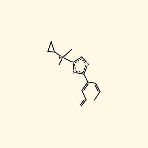 C=C/C=C(\C=C/C)c1ncn([PH](C)(C)C2CC2)n1